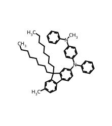 CCCCCCCCC1(CCCCCCCC)c2cc(C)ccc2-c2ccc(N(c3ccccc3)c3ccc(N(C)c4ccccc4)cc3)cc21